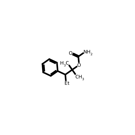 CCC(c1ccccc1)C(C)(C)OC(N)=O